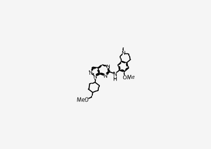 COCC1CCC(n2ncc3cnc(Nc4cc5c(cc4OC)CCN(C)C5)nc32)CC1